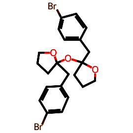 Brc1ccc(CC2(OC3(Cc4ccc(Br)cc4)CCCO3)CCCO2)cc1